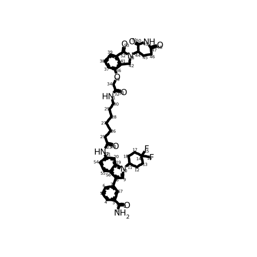 NC(=O)c1cccc(-c2cn(C3CCC(F)(F)CC3)c3cc(NC(=O)CCCCCCNC(=O)COc4cccc5c4CN(C4CCC(=O)NC4=O)C5=O)ccc23)c1